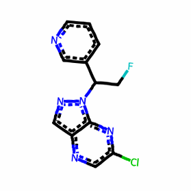 FCC(c1cccnc1)n1ncc2ncc(Cl)nc21